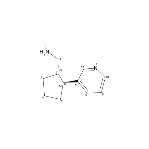 NC[C@H]1CCC[C@@H]1c1cccnc1